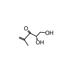 C=C(C)C(=O)[C@H](O)CO